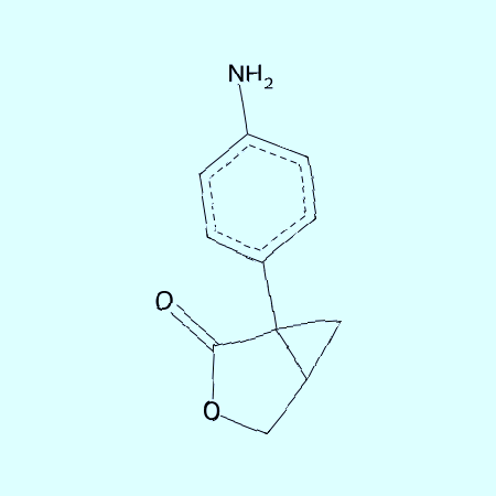 Nc1ccc(C23CC2COC3=O)cc1